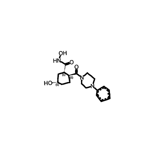 O=C(NO)[C@H]1C[C@@H](O)CC[C@@H]1C(=O)N1CCN(c2ccccc2)CC1